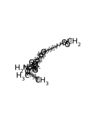 C=CC(=O)OCCCCCCCCCCCOc1ccc(-c2ccc(OC(=O)c3cc(N)c(OC(C)CCCCCC)cc3[N+](=O)[O-])cc2)cc1